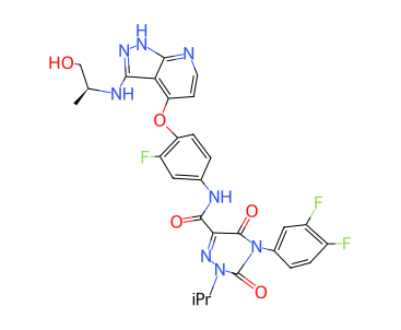 CC(C)n1nc(C(=O)Nc2ccc(Oc3ccnc4[nH]nc(N[C@@H](C)CO)c34)c(F)c2)c(=O)n(-c2ccc(F)c(F)c2)c1=O